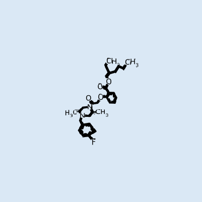 CCCCC(CC)COC(=O)c1ccccc1OCC(=O)N1C[C@@H](C)N(Cc2ccc(F)cc2)C[C@@H]1C